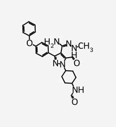 CN/N=C(/N)c1c(-c2ccc(Oc3ccccc3)cc2)nn(C2CCC(NC=O)CC2)c1C=O